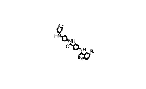 CN(C)c1ccc2nccc(Nc3ccc(C(=O)Nc4ccc(Nc5cc[n+](C)cc5)cc4)cc3)c2c1